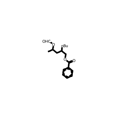 CCCCC(COC(=O)c1ccccc1)CC(C)OC=O